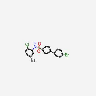 CCc1ccc(Cl)c(NS(=O)(=O)c2ccc(-c3ccc(Br)cc3)cc2)c1